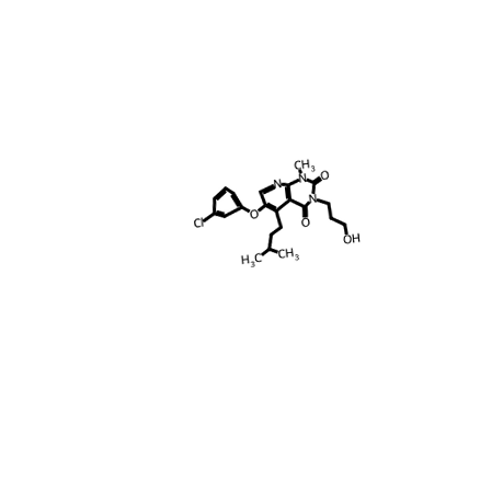 CC(C)CCc1c(Oc2cccc(Cl)c2)cnc2c1c(=O)n(CCCO)c(=O)n2C